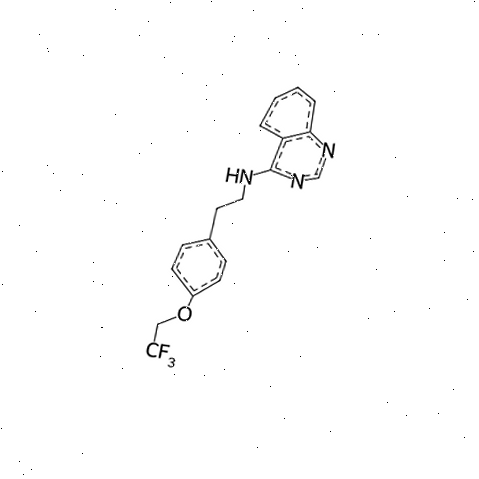 FC(F)(F)COc1ccc(CCNc2ncnc3ccccc23)cc1